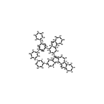 c1ccc(-c2ccc3c4c5sc6ccccc6c5ccc4n(-c4cc(-c5nc(-c6ccccc6)nc(-c6ccccc6)n5)c5sc6ccccc6c5c4)c3c2)cc1